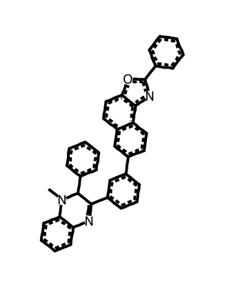 CN1c2ccccc2N=C(c2cccc(-c3ccc4c(ccc5oc(-c6ccccc6)nc54)c3)c2)C1c1ccccc1